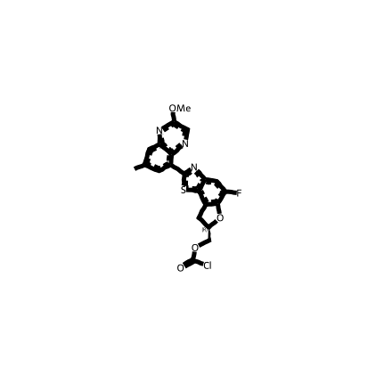 COc1cnc2c(-c3nc4cc(F)c5c(c4s3)C[C@H](COC(=O)Cl)O5)cc(C)cc2n1